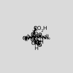 Cc1cn([C@@H]2O[C@H]([C@H](C)CP(C)(C)=O)[C@@H](OC(=O)CCC(=O)O)[C@H]2OCC(=O)NCCN(C)C)c(=O)[nH]c1=O